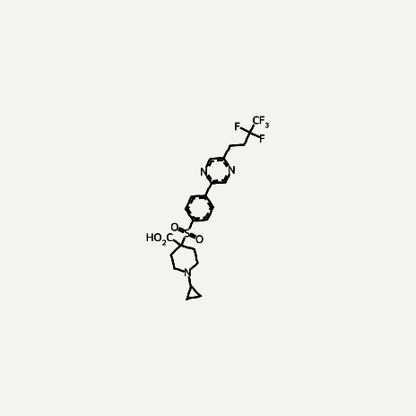 O=C(O)C1(S(=O)(=O)c2ccc(-c3cnc(CCC(F)(F)C(F)(F)F)cn3)cc2)CCN(C2CC2)CC1